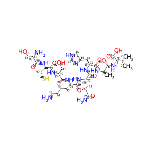 CC(C)[C@H](NC(=O)[C@H](C)NC(=O)[C@H](Cc1c[nH]cn1)NC(=O)[C@H](CCC(N)=O)NC(=O)[C@H](CCCCN)NC(=O)[C@H](CO)NC(=O)[C@H](CS)NC(=O)[C@@H](N)CO)C(=O)O